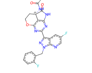 COC(=O)N[C@@]12CCOc3nc(-c4nn(Cc5ccccc5F)c5ncc(F)cc45)nc(c31)NC2=O